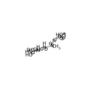 CN(CCCCC(=O)Nc1ccc(CNC[C@H](O)c2ccc(O)c3c2OCC(=O)N3)cc1)C(=O)CCN1CCC2(CC1)CC(OC(=O)C(O)(c1cccs1)c1cccs1)C2